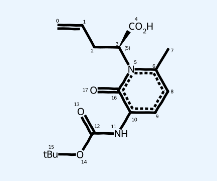 C=CC[C@@H](C(=O)O)n1c(C)ccc(NC(=O)OC(C)(C)C)c1=O